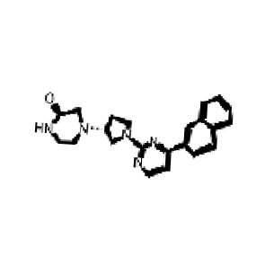 O=C1CN([C@@H]2CCN(c3nccc(-c4ccc5ccccc5c4)n3)C2)CCN1